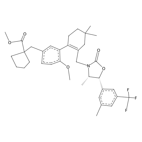 COC(=O)C1(Cc2ccc(OC)c(C3=C(CN4C(=O)O[C@H](c5cc(C)cc(C(F)(F)F)c5)[C@@H]4C)CC(C)(C)CC3)c2)CCCC1